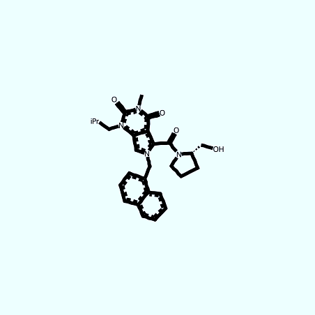 CC(C)Cn1c(=O)n(C)c(=O)c2c(C(=O)N3CCC[C@H]3CO)n(Cc3cccc4ccccc34)cc21